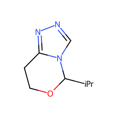 CC(C)C1OCCc2nncn21